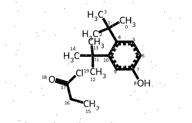 CC(C)(C)c1ccc(O)cc1C(C)(C)C.CCC(=O)Cl